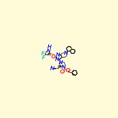 N#CC[C@H]1CN(c2nc(OC[C@@H]3CC(F)(F)CN3)nc3c2CCN(c2cccc4ccccc24)C3)CCN1C(=O)OCc1ccccc1